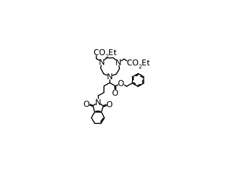 CCOC(=O)CN1CCN(CC(=O)OCC)CCN(C(CCCN2C(=O)C3=C(CCC=C3)C2=O)C(=O)OCc2ccccc2)CC1